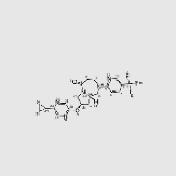 O=C1CCN(c2ccc(C(F)(F)F)cn2)C[C@@H]2C[C@@H](Oc3cnc(C4CC4)cn3)CN12